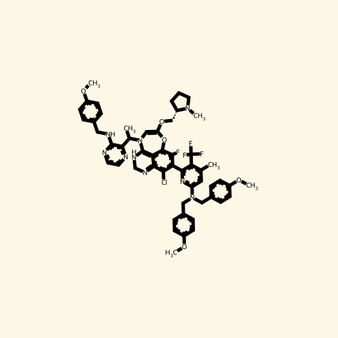 COc1ccc(CNc2nccnc2C(C)N2C=C(OC[C@@H]3CCCN3C)Oc3c(F)c(-c4nc(N(Cc5ccc(OC)cc5)Cc5ccc(OC)cc5)cc(C)c4C(F)(F)F)c(Cl)c4c3=C2NCN=4)cc1